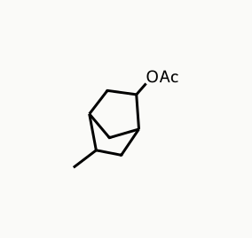 CC(=O)OC1CC2CC1CC2C